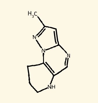 Cc1cc2ncc3c(n2n1)CCCN3